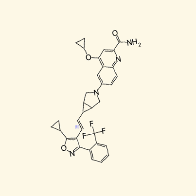 NC(=O)c1cc(OC2CC2)c2cc(N3CC4C(/C=C/c5c(-c6ccccc6C(F)(F)F)noc5C5CC5)C4C3)ccc2n1